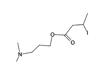 CC(I)CC(=O)OCCCN(C)C